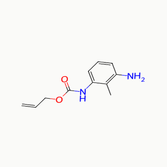 C=CCOC(=O)Nc1cccc(N)c1C